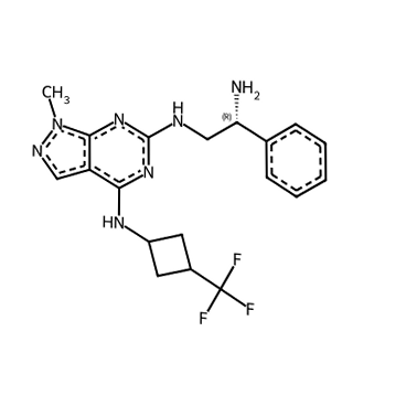 Cn1ncc2c(NC3CC(C(F)(F)F)C3)nc(NC[C@H](N)c3ccccc3)nc21